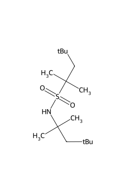 CC(C)(C)CC(C)(C)NS(=O)(=O)C(C)(C)CC(C)(C)C